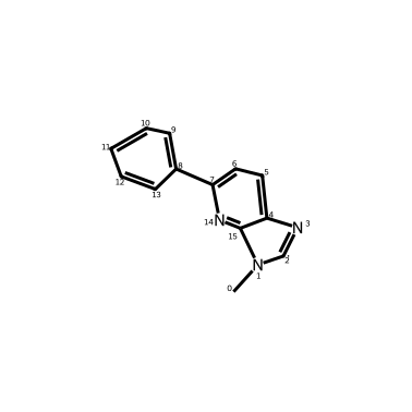 Cn1[c]nc2ccc(-c3ccccc3)nc21